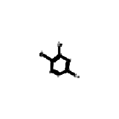 CCc1[c]c(Cl)ccc1Cl